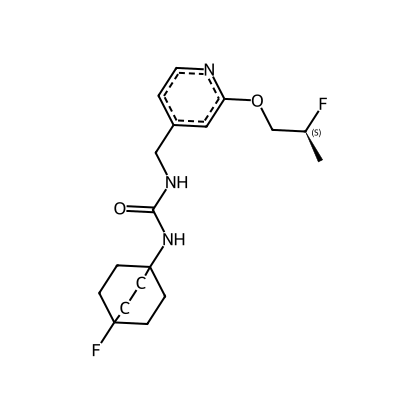 C[C@H](F)COc1cc(CNC(=O)NC23CCC(F)(CC2)CC3)ccn1